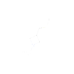 CC(=O)SCC1CN(C(=O)O)C1